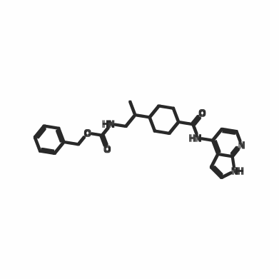 CC(CNC(=O)OCc1ccccc1)C1CCC(C(=O)Nc2ccnc3[nH]ccc23)CC1